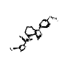 COc1ccc(-n2ncc3c2CCCC3NC(=O)c2cc(Cl)ccn2)cc1